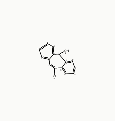 OC1c2ccccc2C=C(Cl)c2ccccc21